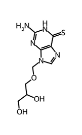 Nc1nc2c(ncn2COCC(O)CO)c(=S)[nH]1